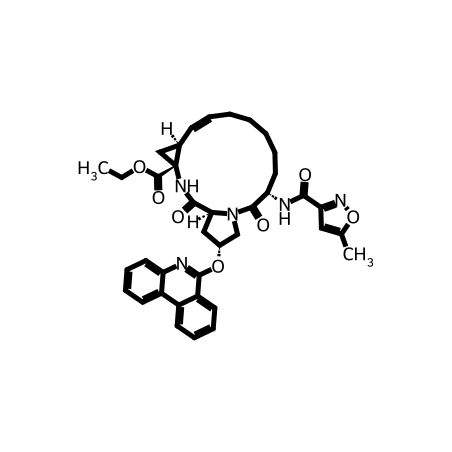 CCOC(=O)[C@@]12C[C@H]1C=CCCCCC[C@H](NC(=O)c1cc(C)on1)C(=O)N1C[C@H](Oc3nc4ccccc4c4ccccc34)C[C@H]1C(=O)N2